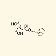 CC(O)CN(CC(C)O)CC(O)COCCC[SiH]1CCCCO1